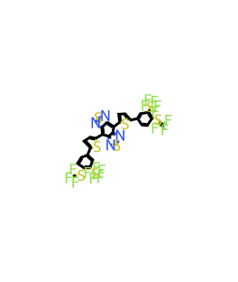 FC(F)(F)Sc1ccc(-c2ccc(-c3c4c(c(-c5ccc(-c6ccc(SC(F)(F)F)c(S(F)(F)(F)(F)F)c6)s5)c5nsnc35)N=S=N4)s2)cc1S(F)(F)(F)(F)F